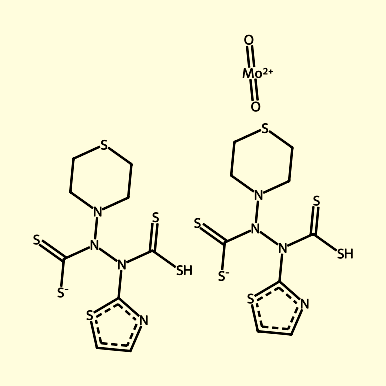 S=C(S)N(c1nccs1)N(C(=S)[S-])N1CCSCC1.S=C(S)N(c1nccs1)N(C(=S)[S-])N1CCSCC1.[O]=[Mo+2]=[O]